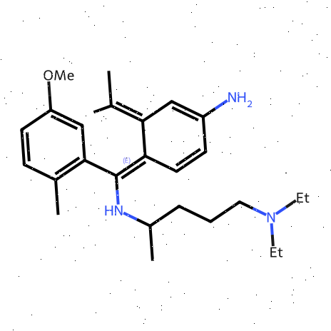 CCN(CC)CCCC(C)N/C(c1cc(OC)ccc1C)=c1\ccc(N)cc1=C(C)C